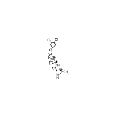 CC1CNCC(C(=O)N[C@@H]2C[C@H](NC(=O)COc3ccc(Cl)c(Cl)c3)C3CC2C3)N1